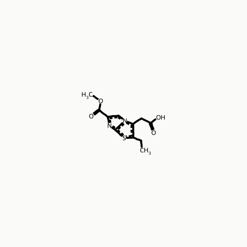 CCc1sc2nc(C(=O)OC)cn2c1CC(=O)O